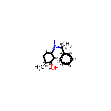 C[C@H](NC1CC[C@@H](C)C(O)C1)c1ccccc1